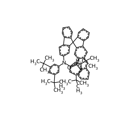 CC(C)(C)c1cc(N(c2cc(C(C)(C)C)cc(C(C)(C)C)c2)c2ccc3c(c2)C2(c4ccccc4-3)c3ccccc3-c3cc4sc5ccccc5c(=O)c4cc32)cc(C(C)(C)C)c1